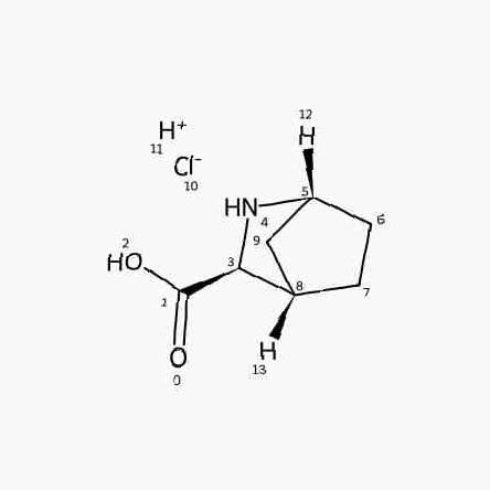 O=C(O)[C@H]1N[C@@H]2CC[C@H]1C2.[Cl-].[H+]